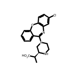 CC(C(=O)O)[C@H]1CN(C2=Nc3cc(Cl)ccc3Oc3ccccc32)CCN1